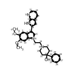 COc1cc2c(-c3cc4cccnc4[nH]3)cn(CCN3CCC(O)(c4ccccc4)CC3)c2cc1OC